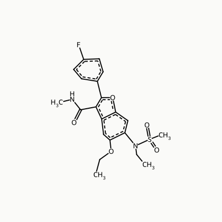 CCOc1cc2c(C(=O)NC)c(-c3ccc(F)cc3)oc2cc1N(CC)S(C)(=O)=O